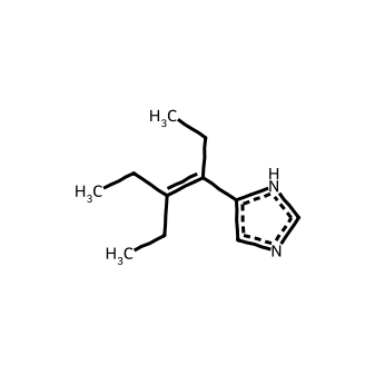 CCC(CC)=C(CC)c1cnc[nH]1